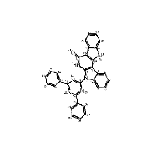 O=c1[nH]c2c(c3ccccc3n2-c2nc(-c3ccccc3)nc(-c3ccccc3)n2)c2[nH]c3ccccc3c12